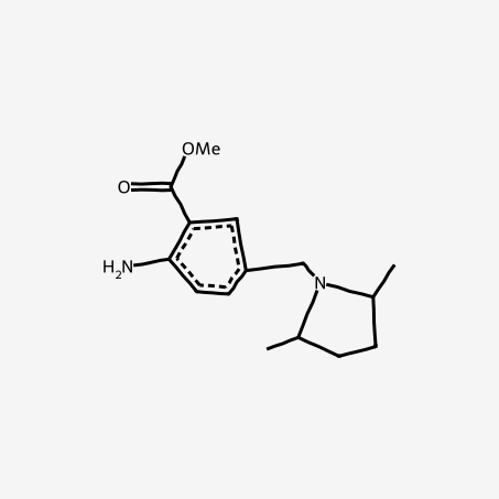 COC(=O)c1cc(CN2C(C)CCC2C)ccc1N